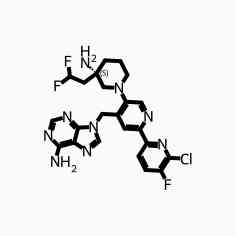 Nc1ncnc2c1ncn2Cc1cc(-c2ccc(F)c(Cl)n2)ncc1N1CCC[C@](N)(CC(F)F)C1